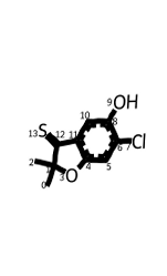 CC1(C)Oc2cc(Cl)c(O)cc2C1=S